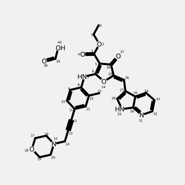 CCOC(=O)C1=C(Nc2ccc(C#CCN3CCOCC3)cc2C)OC(=Cc2c[nH]c3ncccc23)C1=O.O=CO